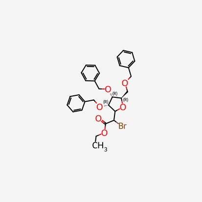 CCOC(=O)C(Br)C1O[C@H](COCc2ccccc2)[C@@H](OCc2ccccc2)[C@H]1OCc1ccccc1